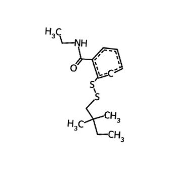 CCNC(=O)c1ccccc1SSCC(C)(C)CC